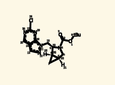 CC(C)(C)OC(=O)N1C[C@H]2C[C@H]2[C@H]1Cn1ncc2cnc(Cl)nc21